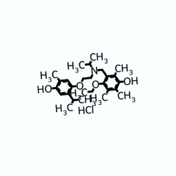 CCOc1c(C)c(C)c(O)c(C)c1CN(CCOc1cc(C)c(O)cc1C(C)C)C(C)C.Cl